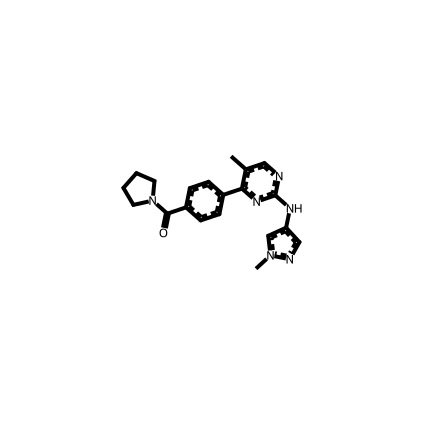 Cc1cnc(Nc2cnn(C)c2)nc1-c1ccc(C(=O)N2CCCC2)cc1